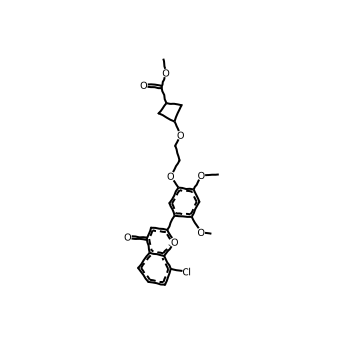 COC(=O)C1CC(OCCOc2cc(-c3cc(=O)c4cccc(Cl)c4o3)c(OC)cc2OC)C1